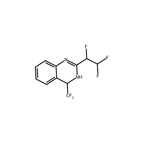 FC(F)C(F)C1=Nc2ccccc2C(C(F)(F)F)N1